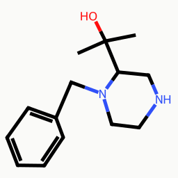 CC(C)(O)C1CNCCN1Cc1ccccc1